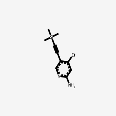 CCc1cc(N)ncc1C#C[Si](C)(C)C